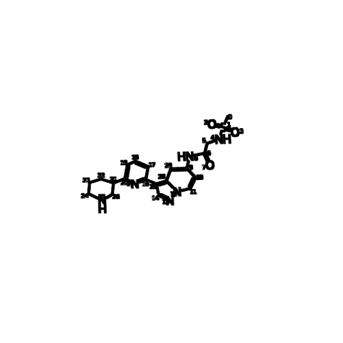 CS(=O)(=O)NCC(=O)Nc1ccn2ncc(-c3cccc(C4CCCNC4)n3)c2c1